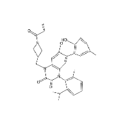 C=CC(=O)N1CC(Cn2c(=O)c(=O)n(-c3c(C)cccc3C(C)C)c3cc(-c4cc(C)ccc4O)c(Cl)cc32)C1